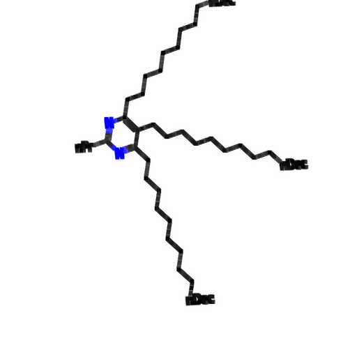 [CH2]CCc1nc(CCCCCCCCCCCCCCCCCCC)c(CCCCCCCCCCCCCCCCCCC)c(CCCCCCCCCCCCCCCCCCC)n1